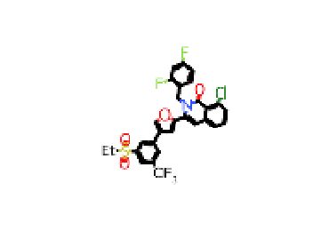 CCS(=O)(=O)c1cc(-c2coc(-c3cc4cccc(Cl)c4c(=O)n3Cc3ccc(F)cc3F)c2)cc(C(F)(F)F)c1